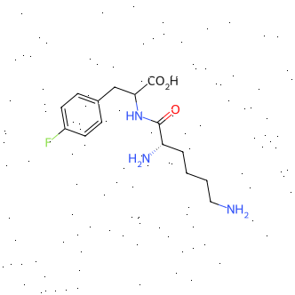 NCCCC[C@H](N)C(=O)NC(Cc1ccc(F)cc1)C(=O)O